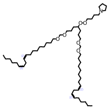 CCCCC/C=C\C/C=C\CCCCCCCCOCOCCCC(CCCOCOCCCCCCCC/C=C\C/C=C\CCCCC)OOCCCCN1CCCC1